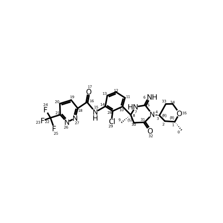 C[C@@H]1C[C@H](N2C(=N)N[C@](C)(c3cccc(NC(=O)c4ccc(C(F)(F)F)nn4)c3Cl)CC2=O)CCO1